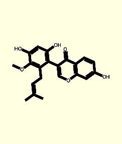 COc1c(O)cc(O)c(-c2coc3cc(O)ccc3c2=O)c1CC=C(C)C